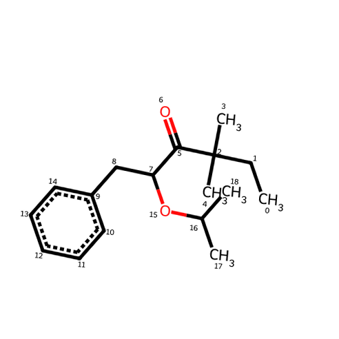 CCC(C)(C)C(=O)C(Cc1ccccc1)OC(C)C